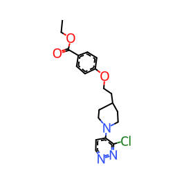 CCOC(=O)c1ccc(OCCC2CCN(c3ccnnc3Cl)CC2)cc1